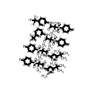 CC(C)(C(=O)Nc1ccc(C(F)(F)F)cn1)S(=O)(=O)c1ccc(F)cc1.CC(C)(C(=O)Nc1cccc(C(F)(F)F)n1)S(=O)(=O)c1ccc(F)cc1.CC(C)(C)c1cc(NC(=O)C(C)(C)S(=O)(=O)c2ccc(F)cc2)on1.Cn1nc(C(C)(C)C)cc1NC(=O)C(C)(C)S(=O)(=O)c1ccc(F)cc1